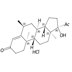 CC(=O)[C@@]1(O)CC[C@H]2[C@@H]3C[C@H](C)C4=CC(=O)CC[C@]4(C)[C@H]3CC[C@@]21C.Cl